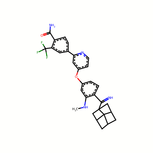 CNc1cc(Oc2ccnc(-c3ccc(C(N)=O)c(C(F)(F)F)c3)c2)ccc1C(=N)C12CC3CC4CC(C1)C432